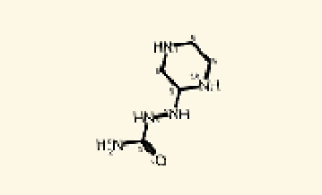 NC(=O)NNC1CNCCN1